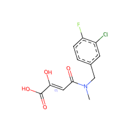 CN(Cc1ccc(F)c(Cl)c1)C(=O)/C=C(\O)C(=O)O